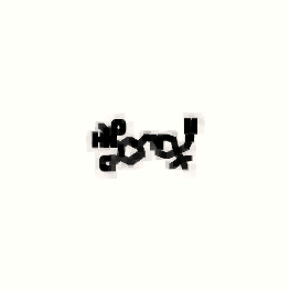 CC(=O)Nc1cc(CN2CCC(CC#N)(C(C)(C)C)CC2)ccc1Cl